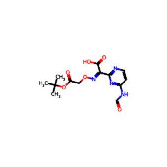 CC(C)(C)OC(=O)CON=C(C(=O)O)c1nccc(NC=O)n1